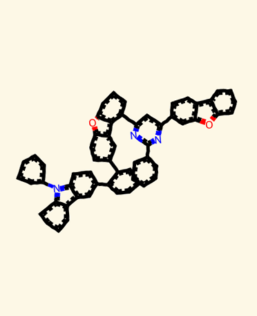 c1ccc(-c2nc(-c3ccc4c(c3)oc3ccccc34)cc(-c3cccc4oc5ccc(-c6ccccc6-c6ccc7c(c6)c6ccccc6n7-c6ccccc6)cc5c34)n2)cc1